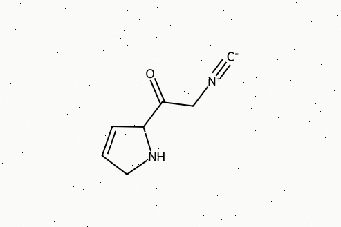 [C-]#[N+]CC(=O)C1C=CCN1